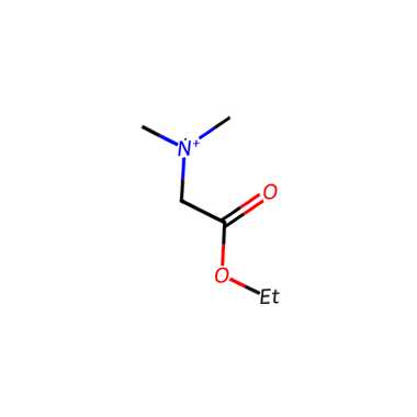 CCOC(=O)C[N+](C)C